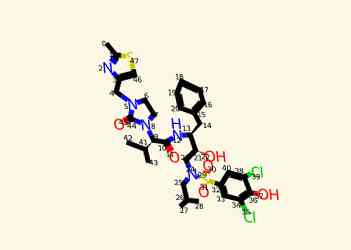 Cc1nc(CN2CCN([C@H](C(=O)N[C@@H](Cc3ccccc3)[C@H](O)CN(CC(C)C)S(=O)(=O)c3cc(Cl)c(O)c(Cl)c3)C(C)C)C2=O)cs1